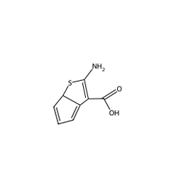 NC1=C(C(=O)O)C2=CC=CC2S1